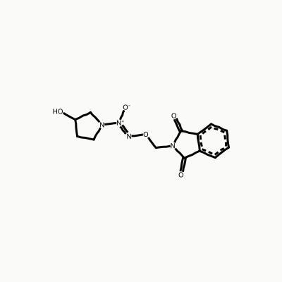 O=C1c2ccccc2C(=O)N1CON=[N+]([O-])N1CCC(O)C1